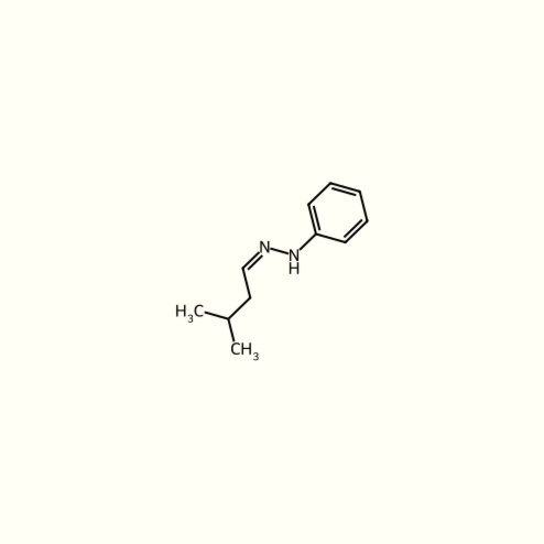 CC(C)C/C=N\Nc1ccccc1